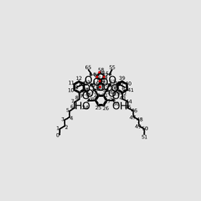 CCCCCCCCCc1ccccc1OC(OCC)(c1c(C(=O)O)ccc(C(=O)O)c1C(OCC)(Oc1ccccc1CCCCCCCCC)C(OCC)(OCC)OCC)C(OCC)(OCC)OCC